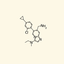 CCN(C)c1cnc2cc(CN)c(-c3ccc(C4CC4)cc3Cl)cn12